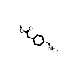 COC(=O)C[C@H]1CC[C@H](CN)CC1